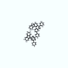 c1ccc(-c2nc(-c3cccc(-c4ccc5c(c4)nc(-c4ccccc4)c4ccc6oc7ccccc7c6c45)c3)nc(-n3c4ccccc4c4ccccc43)n2)cc1